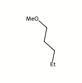 [CH2]OCCCCC